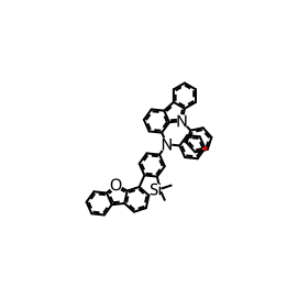 C[Si]1(C)c2cc(N(c3ccccc3)c3cccc4c5ccccc5n(-c5ccccc5)c34)ccc2-c2c1ccc1c2oc2ccccc21